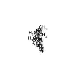 COc1cccc(O)c1-n1c(NS(=O)(=O)[C@@H](C)[C@H](OC)c2ncc(C)cn2)nnc1C1=C=C=C(OC(F)(F)F)C=C1